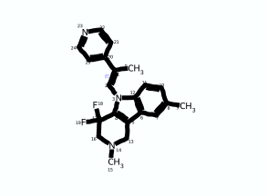 C/C(=C\n1c2c(c3cc(C)ccc31)CN(C)CC2(F)F)c1ccncc1